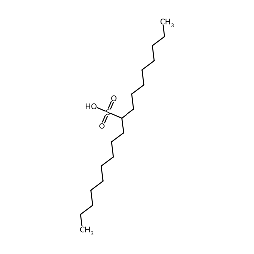 CCCCCCCCCC(CCCCCCCC)S(=O)(=O)O